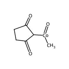 [CH3][Co](=[O])[CH]1C(=O)CCC1=O